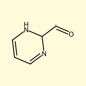 O=[C]C1N=CC=CN1